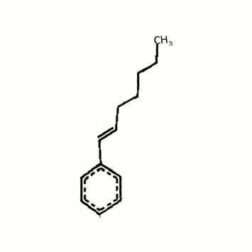 CCCCC/C=C/c1cc[c]cc1